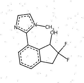 Cn1ccnc1-c1cccc2c1C(O)C(F)(F)C2